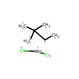 [CH2]CC(C)(C)C.[Cl][Mg][Cl]